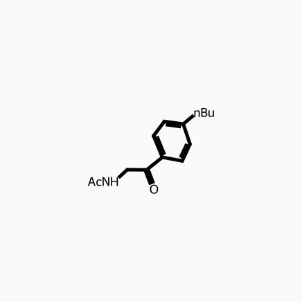 CCCCc1ccc(C(=O)CNC(C)=O)cc1